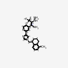 Cc1cccc2c1CCCC2Cn1cnc(-c2cc(/C(N)=C(/NN)C(F)(F)F)ccn2)c1